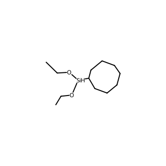 CCO[SiH](OCC)C1CCCCCCC1